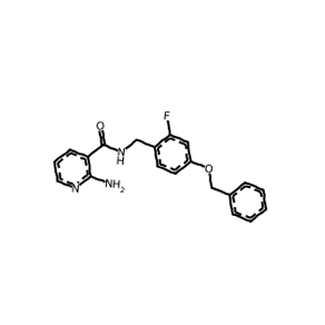 Nc1ncccc1C(=O)NCc1ccc(OCc2ccccc2)cc1F